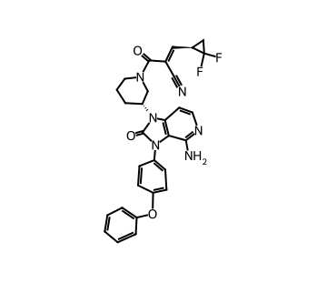 N#CC(=C[C@H]1CC1(F)F)C(=O)N1CCC[C@@H](n2c(=O)n(-c3ccc(Oc4ccccc4)cc3)c3c(N)nccc32)C1